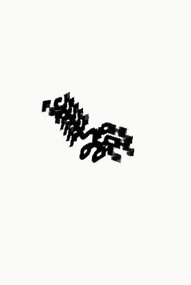 C=C(C)C(=O)N(C)CCC(F)(F)C(F)(F)C(F)(F)C(F)(F)C(F)(F)C(F)(F)F